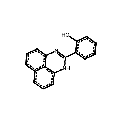 Oc1ccccc1C1=Nc2cccc3cccc(c23)N1